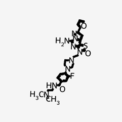 CN(C)CCNC(=O)c1ccc(N2CCN(CCn3c(=O)sc4c3nc(N)n3nc(-c5ccco5)cc43)CC2)c(F)c1